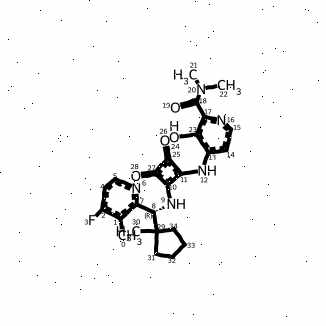 Cc1c(F)ccnc1[C@H](Nc1c(Nc2ccnc(C(=O)N(C)C)c2O)c(=O)c1=O)C1(C)CCCC1